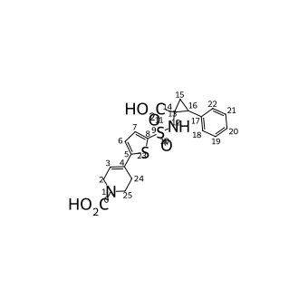 O=C(O)N1CC=C(c2ccc(S(=O)(=O)NC3(C(=O)O)CC3c3ccccc3)s2)CC1